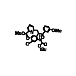 COC(=O)c1cccc(CC(C(=O)c2cccc(OC)c2)c2ccc(Cl)cc2NC(=O)OC(C)(C)C)n1